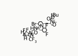 CC(C)(C)OC(=O)N1C(C#Cc2ccc(Br)c([C@H](Cc3cc(F)cc(F)c3)NC(=O)Cn3nc(C(F)(F)F)c4c3C(F)(F)[C@@H]3C[C@H]43)n2)COC1(C)C